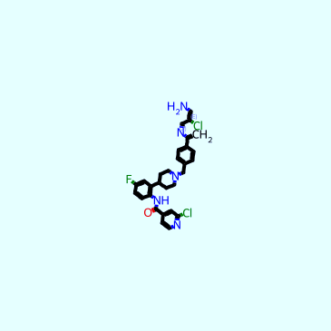 C=C(/N=C\C(Cl)=C/N)c1ccc(CN2CCC(c3cc(F)ccc3NC(=O)c3ccnc(Cl)c3)CC2)cc1